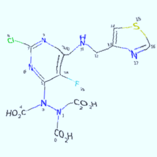 O=C(O)N(C(=O)O)N(C(=O)O)c1nc(Cl)nc(NCc2cscn2)c1F